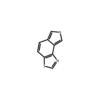 c1nc2c(ccc3cscc32)s1